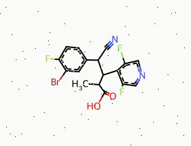 CC(C(=O)O)C(c1c(F)cncc1F)C(C#N)c1ccc(F)c(Br)c1